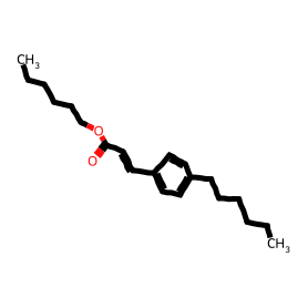 CCCCCCOC(=O)C=Cc1ccc(CCCCCC)cc1